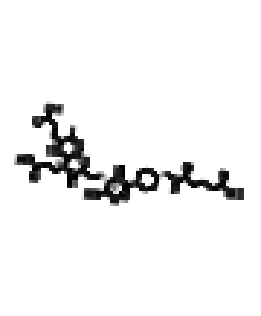 CC(=O)[C@H](CCC(=O)O)NC(=O)[C@H](CCC(=O)O)NC(=O)CC[C@H](NC(=O)[C@H]1CC[C@H](CNC(=O)CCCC(=O)O)CC1)C(=O)O